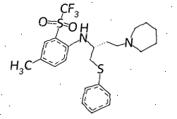 Cc1ccc(N[C@H](CCN2CCCCC2)CSc2ccccc2)c(S(=O)(=O)C(F)(F)F)c1